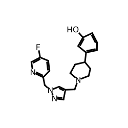 Oc1cccc(C2CCN(Cc3cnn(Cc4ccc(F)cn4)c3)CC2)c1